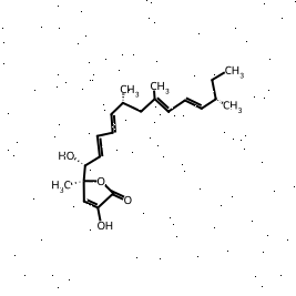 CC[C@H](C)/C=C/C=C(\C)C[C@@H](C)/C=C/C=C/[C@@H](O)[C@]1(C)C=C(O)C(=O)O1